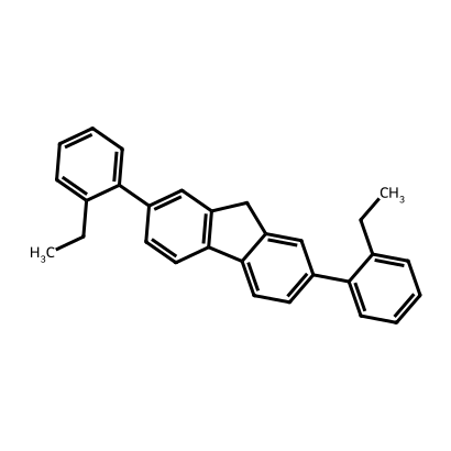 CCc1ccccc1-c1ccc2c(c1)Cc1cc(-c3ccccc3CC)ccc1-2